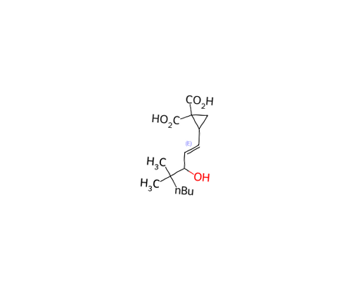 CCCCC(C)(C)C(O)/C=C/C1CC1(C(=O)O)C(=O)O